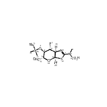 CN(C(=O)O)C1=N[C@@H]2[C@@H](F)[C@H](O[Si](C)(C)C(C)(C)C)[C@@H](C=O)O[C@@H]2S1